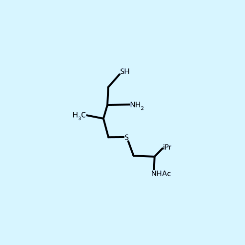 CC(=O)NC(CSCC(C)C(N)CS)C(C)C